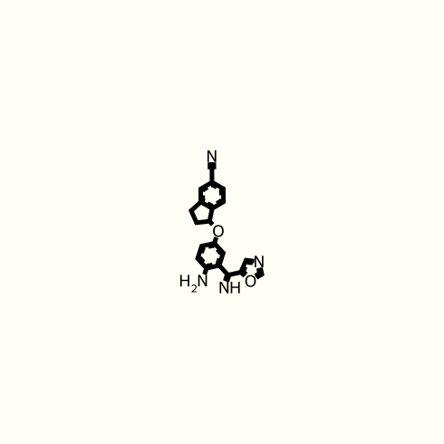 N#Cc1ccc2c(c1)CCC2Oc1ccc(N)c(C(=N)c2cnco2)c1